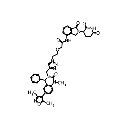 Cc1noc(C)c1-c1ccc2c(c1)C(c1ccccc1)N(Cc1cn(CCOCC(=O)Nc3cccc4c3CN(C3CCC(=O)NC3=O)C4=O)nn1)C(=O)N2C